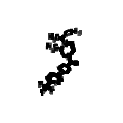 CC(C)N1CCN(C(=O)C2CCN(c3ccc(C(F)(F)F)nn3)CC2)C[C@@H]1C